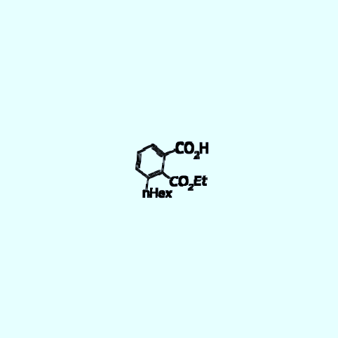 CCCCCCc1cccc(C(=O)O)c1C(=O)OCC